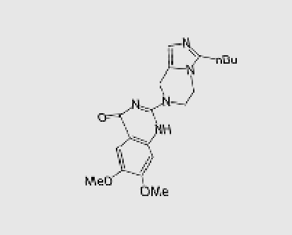 CCCCc1ncc2n1CCN(c1nc(=O)c3cc(OC)c(OC)cc3[nH]1)C2